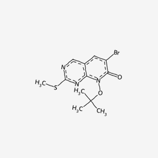 CSc1ncc2cc(Br)c(=O)n(OC(C)(C)C)c2n1